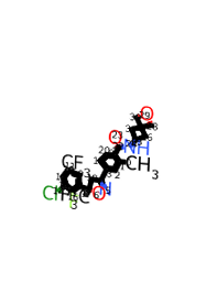 Cc1cc(C2=NOC(c3cc(C(F)(F)F)cc(Cl)c3F)(C(F)(F)F)C2)ccc1C(=O)NC1CC2(COC2)C1